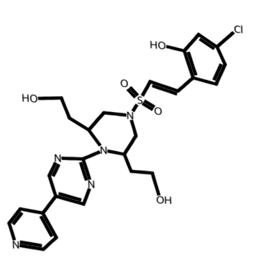 O=S(=O)(C=Cc1ccc(Cl)cc1O)N1CC(CCO)N(c2ncc(-c3ccncc3)cn2)C(CCO)C1